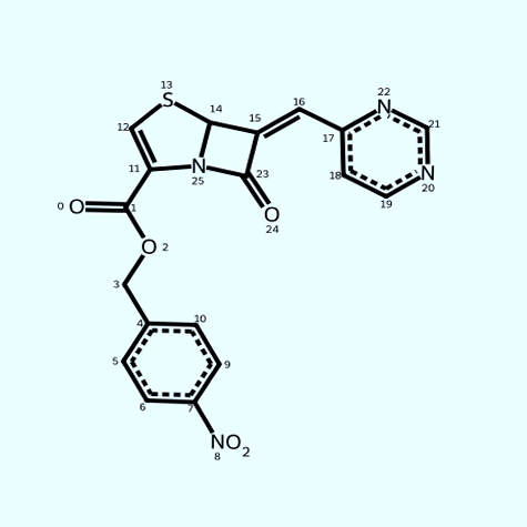 O=C(OCc1ccc([N+](=O)[O-])cc1)C1=CSC2C(=Cc3ccncn3)C(=O)N12